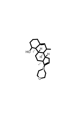 CC1C=C2CCCC(O)[C@]2(C)[C@H]2CC[C@]3(C)C(N4CCOCC4)=CC[C@H]3[C@H]12